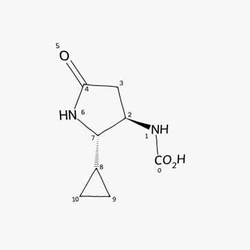 O=C(O)N[C@@H]1CC(=O)N[C@H]1C1CC1